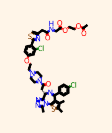 CC(=O)OCCOC(=O)CNC(=O)Cc1csc(-c2ccc(OCCN3CCN(C(=O)C[C@@H]4N=C(c5ccc(Cl)cc5)c5c(sc(C)c5C)-n5c(C)nnc54)CC3)cc2Cl)n1